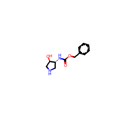 O=C(N[C@@H]1CNC[C@H]1O)OCc1ccccc1